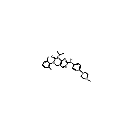 Cc1cccc(C)c1N1Cc2cnc(Nc3ccc(N4CCN(C)CC4)cc3)nc2N(C(C)C)C1=O